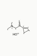 C=C(CN(C)C)C1=CCC1.Cl